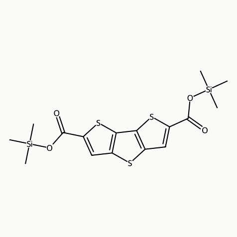 C[Si](C)(C)OC(=O)c1cc2sc3cc(C(=O)O[Si](C)(C)C)sc3c2s1